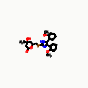 COc1ccccc1-c1nc(SC[C@@H]2CC(C)(O)CC(=O)O2)[nH]c1-c1ccccc1OC